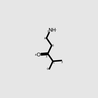 CC(C)C(=O)CC[NH]